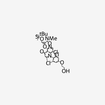 CNC(=O)[C@H](CO[Si](C)(C)C(C)(C)C)Oc1ncc(Cl)c2c1c(=O)cc(C)n2-c1c(Cl)cc(OCCO)cc1Cl